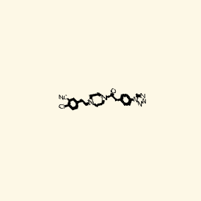 N#Cc1cc(CCN2CCN(C(=O)Cc3ccc(-n4cnnn4)cc3)CC2)ccc1Cl